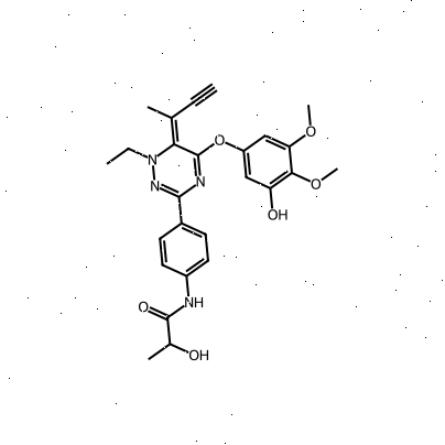 C#C/C(C)=C1\C(Oc2cc(O)c(OC)c(OC)c2)=NC(c2ccc(NC(=O)C(C)O)cc2)=NN1CC